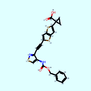 O=C(Nc1csnc1C#Cc1cc2sc(C3(C(=O)O)CC3)cc2s1)OCc1ccccc1